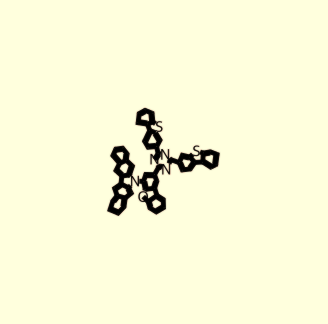 c1ccc2cc3c(cc2c1)c1cc2ccccc2cc1n3-c1cc(-c2nc(-c3ccc4c(c3)sc3ccccc34)nc(-c3ccc4c(c3)sc3ccccc34)n2)cc2c1oc1ccccc12